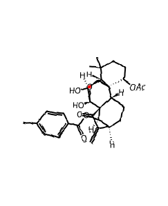 C=C1C(=O)[C@]23[C@H](OC(=O)c4ccc(C)cc4)[C@H]1CC[C@H]2[C@@]12CO[C@]3(O)[C@@H](O)[C@@H]1C(C)(C)CCC2OC(C)=O